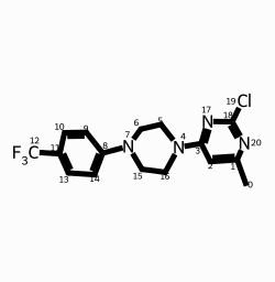 Cc1cc(N2CCN(c3ccc(C(F)(F)F)cc3)CC2)nc(Cl)n1